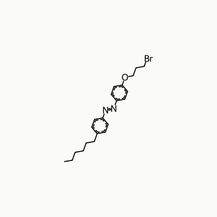 CCCCCCc1ccc(N=Nc2ccc(OCCCBr)cc2)cc1